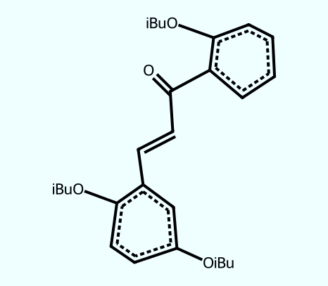 CC(C)COc1ccc(OCC(C)C)c(C=CC(=O)c2ccccc2OCC(C)C)c1